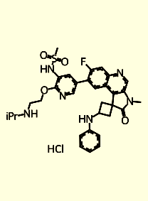 CC(C)NCCOc1ncc(-c2cc3c4c(cnc3cc2F)N(C)C(=O)C42CC(Nc3ccccc3)C2)cc1NS(C)(=O)=O.Cl